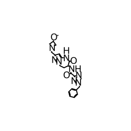 COC1CN(Cc2cc3n(n2)CCC(NC(=O)c2ncn(Cc4ccccc4)n2)C(=O)N3)C1